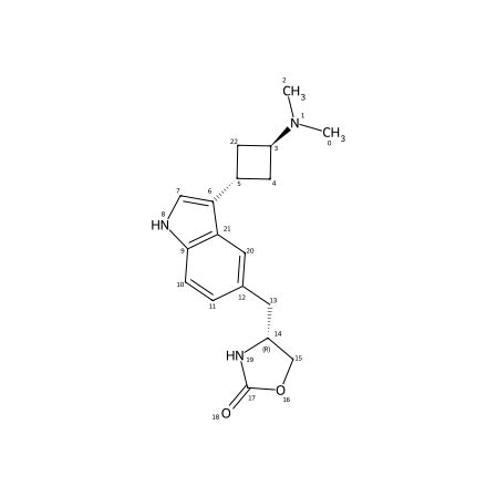 CN(C)[C@H]1C[C@H](c2c[nH]c3ccc(C[C@@H]4COC(=O)N4)cc32)C1